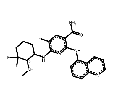 CN[C@@H]1C(Nc2nc(Nc3cccc4ncccc34)c(C(N)=O)cc2F)CCCC1(F)F